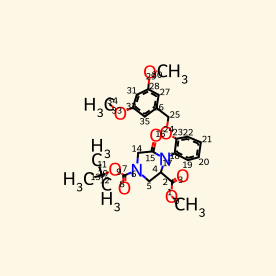 COC(=O)C1CN(C(=O)OC(C)(C)C)CC(=O)N1c1ccccc1OCc1cc(OC)cc(OC)c1